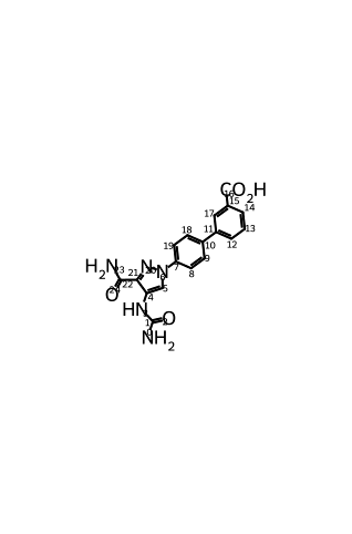 NC(=O)Nc1cn(-c2ccc(-c3cccc(C(=O)O)c3)cc2)nc1C(N)=O